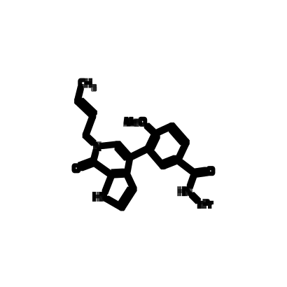 C/C=C/Cn1cc(-c2cc(C(=O)NCCC)ccc2OC)c2cc[nH]c2c1=O